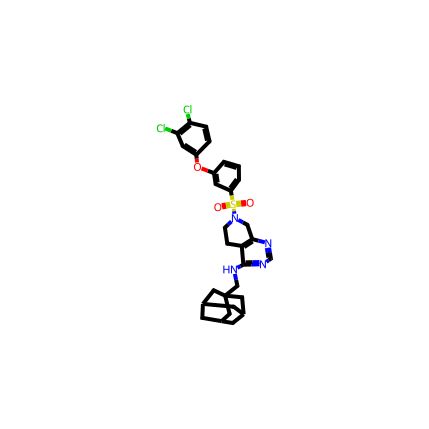 O=S(=O)(c1cccc(Oc2ccc(Cl)c(Cl)c2)c1)N1CCc2c(ncnc2NCC23CC4CC(CC(C4)C2)C3)C1